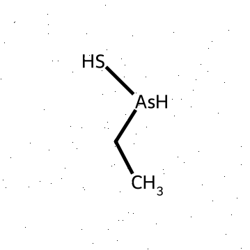 CC[AsH]S